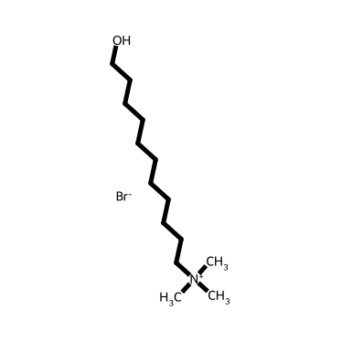 C[N+](C)(C)CCCCCCCCCCCO.[Br-]